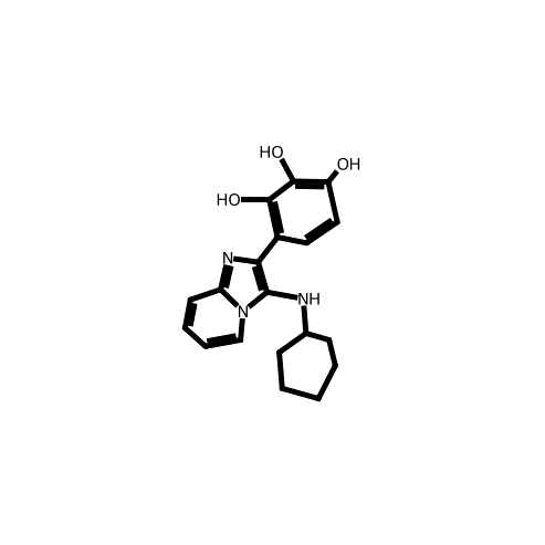 Oc1ccc(-c2nc3ccccn3c2NC2CCCCC2)c(O)c1O